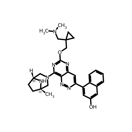 CN(C)CC1(COc2nc(N3C[C@H]4CC[C@@](C)(C3)N4)c3nnc(-c4cc(O)cc5ccccc45)cc3n2)CC1